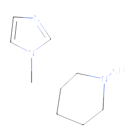 CN1CCC[C@H](Cn2ccnc2)C1